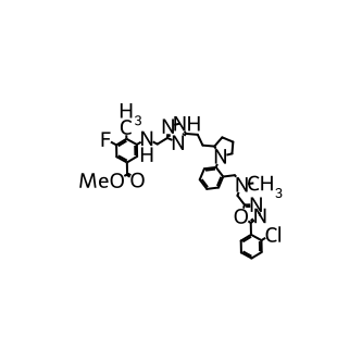 COC(=O)c1cc(F)c(C)c(NCc2n[nH]c(CCC3CCCN3c3ccccc3CN(C)Cc3nnc(-c4ccccc4Cl)o3)n2)c1